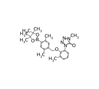 Cc1cc(B2OC(C)(C)C(C)(C)O2)c(C)cc1COc1c(C)cccc1-n1nnn(C)c1=O